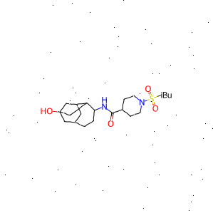 CCC(C)S(=O)(=O)N1CCC(C(=O)NC2CCC3CC4CC(O)(C3)CC42)CC1